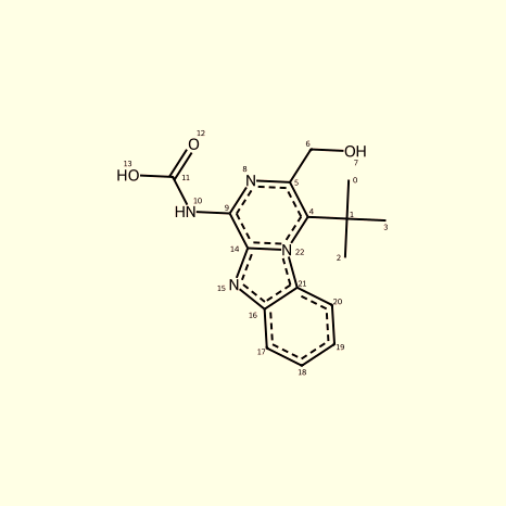 CC(C)(C)c1c(CO)nc(NC(=O)O)c2nc3ccccc3n12